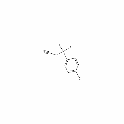 N#CSC(F)(F)c1ccc(Cl)cc1